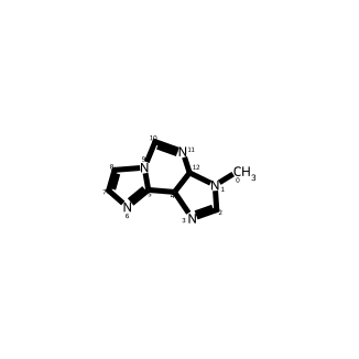 CN1C=NC2c3nccn3C=NC21